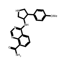 COc1ccc(C2CNCC2Nc2ncnc3c(C(N)=O)cccc23)cc1